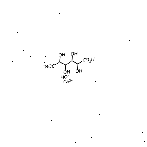 O=C([O-])C(O)C(O)C(O)C(O)C(=O)O.[Ca+2].[OH-]